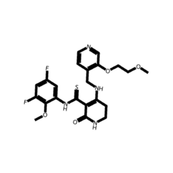 COCCOc1cnccc1CNC1=C(C(=S)Nc2cc(F)cc(F)c2OC)C(=O)NCC1